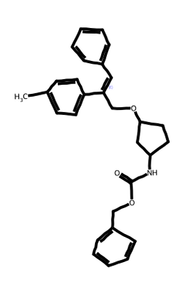 Cc1ccc(/C(=C\c2ccccc2)COC2CCC(NC(=O)OCc3ccccc3)C2)cc1